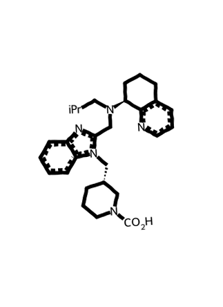 CC(C)CN(Cc1nc2ccccc2n1C[C@H]1CCCN(C(=O)O)C1)[C@H]1CCCc2cccnc21